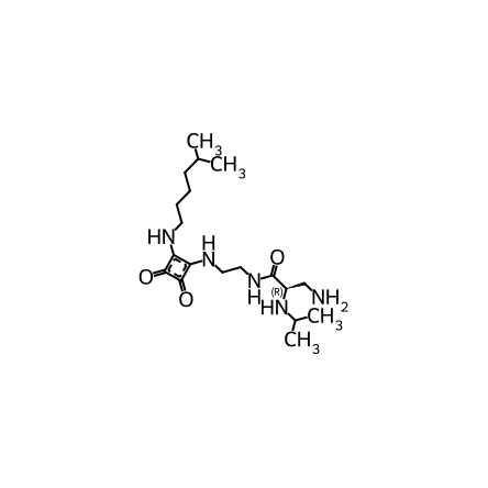 CC(C)CCCCNc1c(NCCNC(=O)[C@@H](CN)NC(C)C)c(=O)c1=O